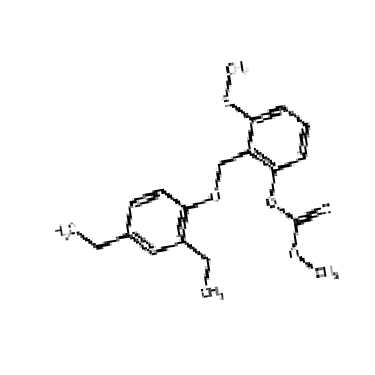 CCc1ccc(OCc2c(OC(=O)OC)cccc2SC)c(CC)c1